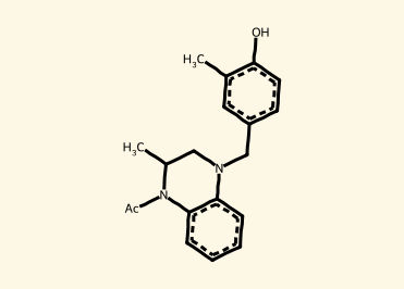 CC(=O)N1c2ccccc2N(Cc2ccc(O)c(C)c2)CC1C